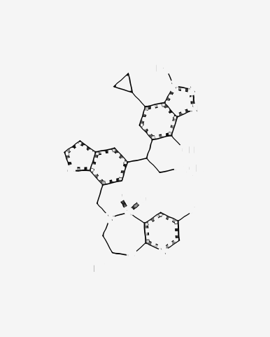 CCOC(=O)CC(c1cc(CN2C[C@@H](CC)Oc3ncc(Cl)cc3S2(=O)=O)c2occc2c1)c1cc(C2CC2)c2c(nnn2C)c1C